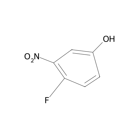 O=[N+]([O-])c1cc(O)ccc1F